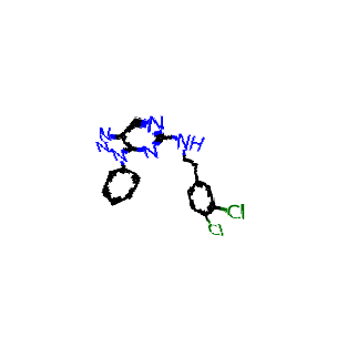 Clc1ccc(CCNc2ncc3nnn(-c4ccccc4)c3n2)cc1Cl